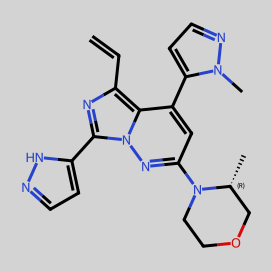 C=Cc1nc(-c2ccn[nH]2)n2nc(N3CCOC[C@H]3C)cc(-c3ccnn3C)c12